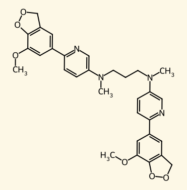 COc1cc(-c2ccc(N(C)CCCN(C)c3ccc(-c4cc5c(c(OC)c4)OOC5)nc3)cn2)cc2c1OOC2